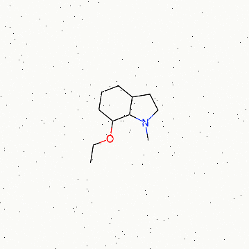 CCOC1CCCC2CCN(C)C21